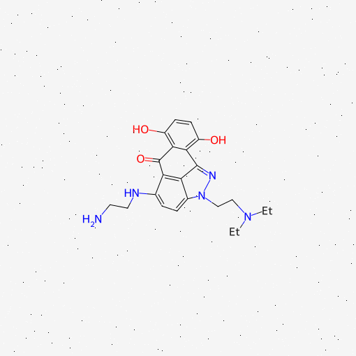 CCN(CC)CCn1nc2c3c(c(NCCN)ccc31)C(=O)c1c(O)ccc(O)c1-2